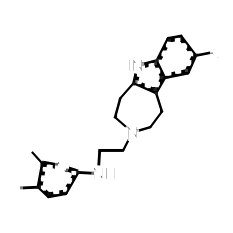 Cc1nc(NCCN2CCc3[nH]c4ccc(Cl)cc4c3CC2)ccc1Cl